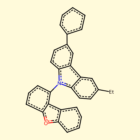 CCc1ccc2c(c1)c1cc(-c3ccccc3)ccc1n2-c1cccc2oc3ccccc3c12